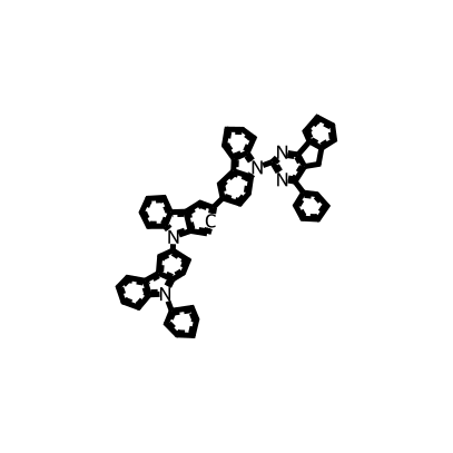 c1ccc(-c2nc(-n3c4ccccc4c4cc(-c5ccc6c(c5)c5ccccc5n6-c5ccc6c(c5)c5ccccc5n6-c5ccccc5)ccc43)nc3c2Cc2ccccc2-3)cc1